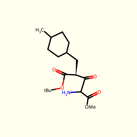 COC(=O)C(N)C(=O)[C@H](CC1CCC(C)CC1)C(=O)OC(C)(C)C